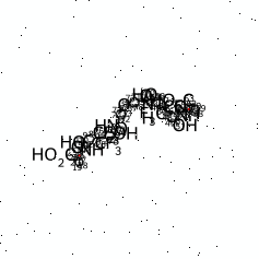 O=C(Nc1cc(C(c2ccc(O)c(NC(=O)C3C4C=CC(C4)C3C(=O)O)c2)(C(F)(F)F)C(F)(F)F)ccc1O)c1ccc(Oc2ccc(C(=O)Nc3cc(C(c4ccc(O)c(NC(=O)C5C6C=CC(C6)C5C(=O)O)c4)(C(F)(F)F)C(F)(F)F)ccc3O)cc2)cc1